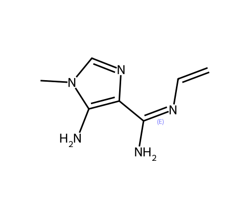 C=C/N=C(/N)c1ncn(C)c1N